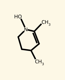 CC1=CC(C)CCN1O